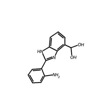 Nc1ccccc1-c1nc2c(C(O)O)cccc2[nH]1